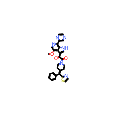 COc1cnc(-c2cnccn2)c2[nH]cc(C(=O)C(=O)N3CCC(=C(c4ccccc4)c4nccs4)CC3)c12